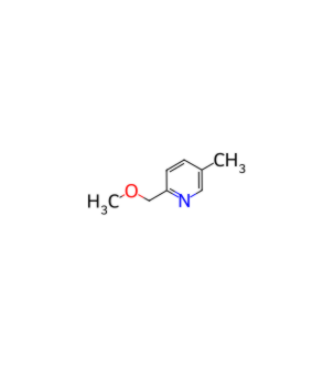 COCc1ccc(C)cn1